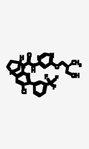 C[C@H](CO)COc1cc(NC(=O)N2c3nc(-c4cccc(C(F)(F)F)c4)c(Cl)cc3N3CC[C@H]2C3)ncn1